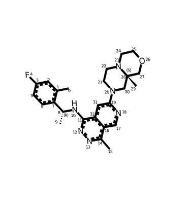 Cc1cc(F)ccc1[C@@H](C)Nc1nnc(C)c2cnc(N3CCN4CCOC[C@]4(C)C3)cc12